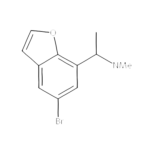 CNC(C)c1cc(Br)cc2ccoc12